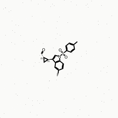 Cc1ccc(S(=O)(=O)n2cc([C@H]3C[C@@H]3C=O)c3cc(F)ccc32)cc1